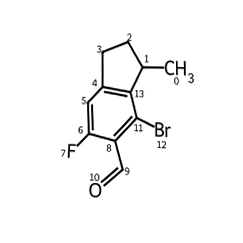 CC1CCc2cc(F)c(C=O)c(Br)c21